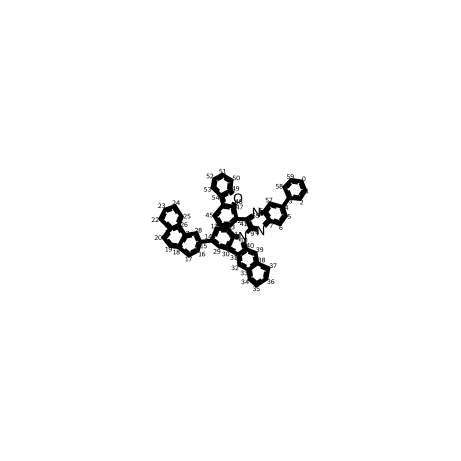 c1ccc(-c2ccc3nc(-n4c5ccc(-c6ccc7ccc8ccccc8c7c6)cc5c5cc6ccccc6cc54)c(-c4cccc5c4oc4ccccc45)nc3c2)cc1